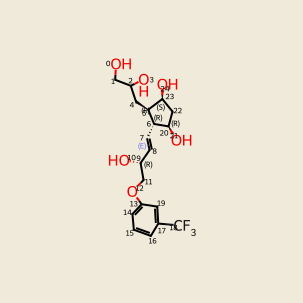 OCC(O)C[C@@H]1[C@@H](/C=C/[C@@H](O)COc2cccc(C(F)(F)F)c2)[C@H](O)C[C@@H]1O